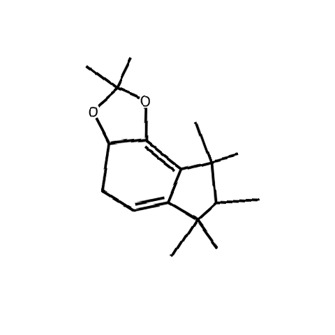 CC1C(C)(C)C2=CCC3OC(C)(C)OC3=C2C1(C)C